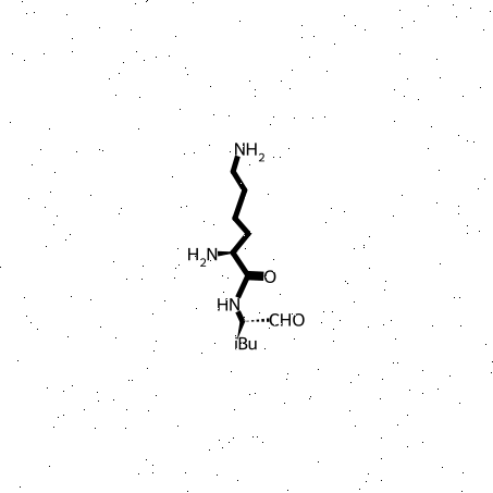 CC[C@H](C)[C@@H](C=O)NC(=O)[C@@H](N)CCCCN